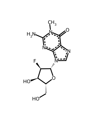 Cn1c(N)nc2c(ncn2[C@@H]2O[C@H](CO)[C@@H](O)[C@H]2F)c1=O